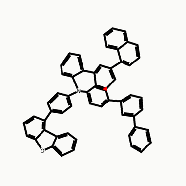 c1ccc(-c2cccc(-c3ccc(N(c4ccc(-c5cccc6oc7ccccc7c56)cc4)c4ccccc4-c4cccc(-c5cccc6ccccc56)c4)cc3)c2)cc1